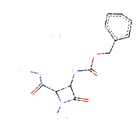 CONC(=O)C1C(NC(=O)OCc2ccccc2)C(=O)N1S(=O)(=O)O.[NaH]